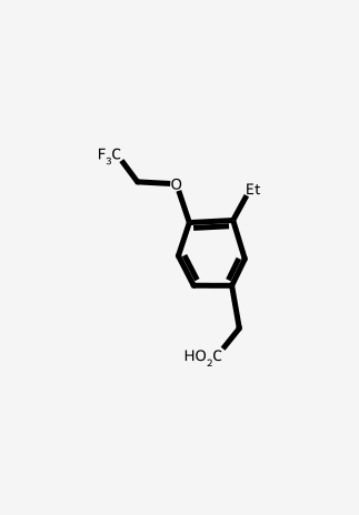 CCc1cc(CC(=O)O)ccc1OCC(F)(F)F